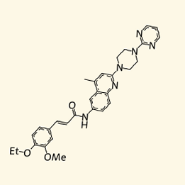 CCOc1ccc(C=CC(=O)Nc2ccc3nc(N4CCN(c5ncccn5)CC4)cc(C)c3c2)cc1OC